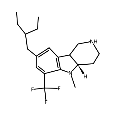 CCC(CC)Cc1cc2c(c(C(F)(F)F)c1)N(C)[C@H]1CCNCC21